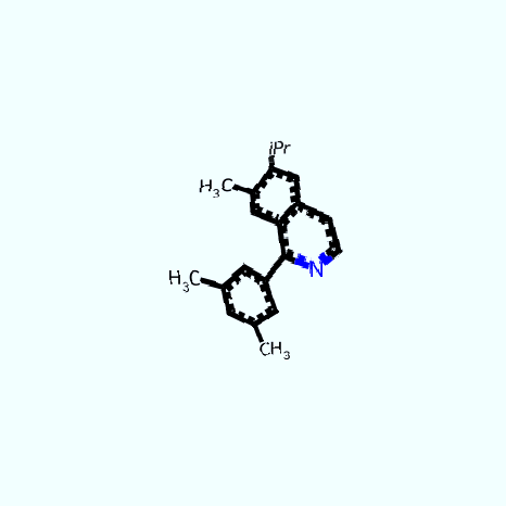 Cc1cc(C)cc(-c2nccc3cc(C(C)C)c(C)cc23)c1